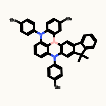 CC(C)(C)c1ccc(N2c3ccc(C(C)(C)C)cc3B3c4cc5c(cc4N(c4ccc(C(C)(C)C)cc4)c4cccc2c43)C(C)(C)c2ccccc2-5)cc1